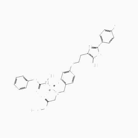 COC(=O)CN(Cc1ccc(OCCc2nc(-c3ccc(C)cc3)oc2C)cc1)S(=O)(=O)N(C)C(=O)Oc1ccccc1